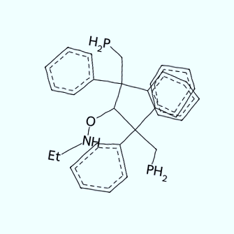 CCNOC(C(CP)(c1ccccc1)c1ccccc1)C(CP)(c1ccccc1)c1ccccc1